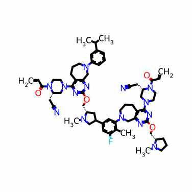 C=CC(=O)N1CCN(c2nc(OC[C@@H]3CC(c4cc(F)c(C)c(N5CCCc6c(nc(OC[C@@H]7CCCN7C)nc6N6CCN(C(=O)C=C)[C@@H](CC#N)C6)C5)c4)CN3C)nc3c2CCCN(c2cccc(C(C)C)c2)C3)C[C@@H]1CC#N